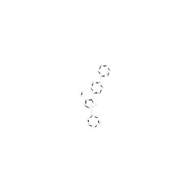 O=Cc1cn(-c2ccccc2)nc1-c1ccc(-c2ccccc2)c(F)c1